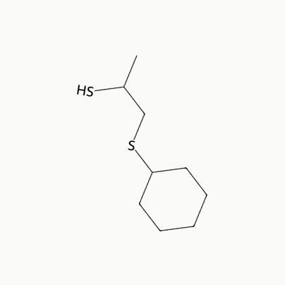 CC(S)CSC1CCCCC1